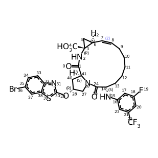 O=C1N[C@]2(C(=O)O)C[C@H]2/C=C\CCCCC[C@H](Nc2cc(F)cc(C(F)(F)F)c2)C(=O)N2C[C@H](Oc3nc4ccc(Br)cc4s3)C[C@@H]12